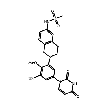 COc1c(N2CCc3cc(NS(C)(=O)=O)ccc3C2)cc(-n2ccc(=O)[nH]c2=O)cc1C(C)(C)C